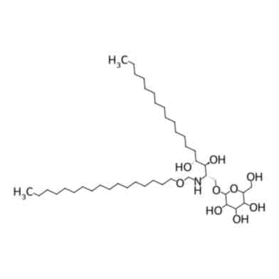 CCCCCCCCCCCCCCCCCOCN[C@@H](COC1OC(CO)C(O)C(O)C1O)[C@H](O)[C@H](O)CCCCCCCCCCCCCC